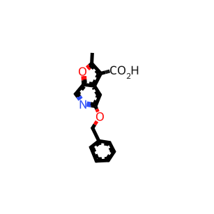 Cc1oc2cnc(OCc3ccccc3)cc2c1C(=O)O